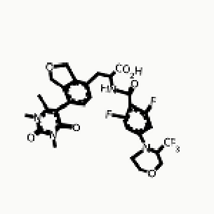 Cc1c(-c2ccc(CC(NC(=O)c3c(F)cc(N4CCOCC4C(F)(F)F)cc3F)C(=O)O)c3c2COC3)c(=O)n(C)c(=O)n1C